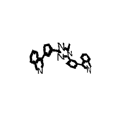 Cc1nc(-c2cccc(-c3cncc4ccccc34)c2)nc(-c2cccc(-c3cncc4ccccc34)c2)n1